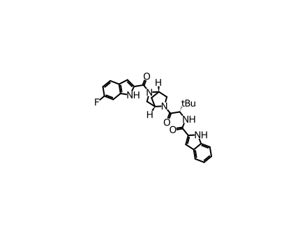 CC(C)(C)[C@H](NC(=O)c1cc2ccccc2[nH]1)C(=O)N1C[C@@H]2C[C@H]1CN2C(=O)c1cc2ccc(F)cc2[nH]1